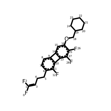 FC(F)=CCCc1ccc2c(c1F)-c1c-2cc(OCC2CCCCC2)c(F)c1F